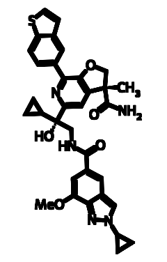 COc1cc(C(=O)NC[C@](O)(c2cc3c(c(-c4ccc5sccc5c4)n2)OC[C@]3(C)C(N)=O)C2CC2)cc2cn(C3CC3)nc12